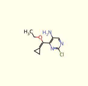 CCOC(=C1CC1)c1nc(Cl)ncc1N